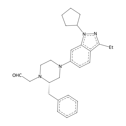 CCc1nn(C2CCCC2)c2cc(N3CCN(CC=O)[C@@H](Cc4ccccc4)C3)ccc12